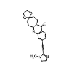 Cn1ccnc1C#Cc1ccc2c(=O)n3c(nc2c1)CCC1(CC3)OCCO1